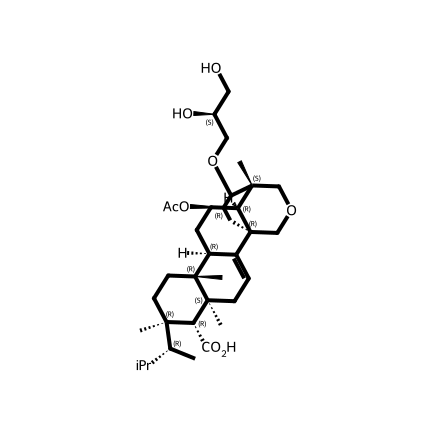 CC(=O)O[C@@H]1C[C@@]23COC[C@@](C)(C1OC[C@@H](O)CO)[C@@H]2CC[C@H]1C3=CC[C@@]2(C)[C@H](C(=O)O)[C@@](C)([C@H](C)C(C)C)CC[C@]12C